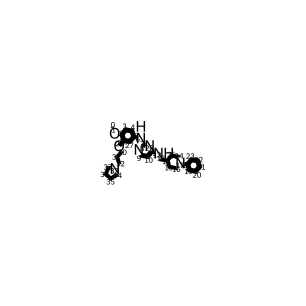 COc1ccc(Nc2nccc(NCC3CCN(c4ccccc4)CC3)n2)cc1OCCCN1CCCC1